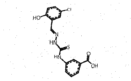 O=C(O)c1cccc(NC(=S)NN=Cc2cc(Cl)ccc2O)c1